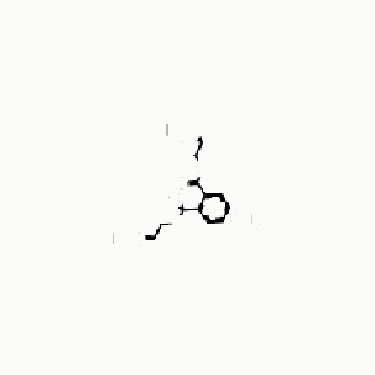 C.C=CCOC(=O)c1ccccc1C(=O)OCC=C